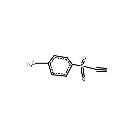 [C]#CS(=O)(=O)c1ccc(C)cc1